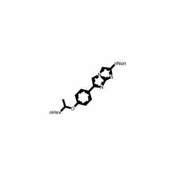 CCCCCCCCCc1cn2cc(-c3ccc(OC(C)CCCCCC)cc3)nc2s1